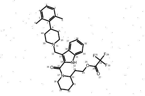 Cc1cccc(C)c1C1CCN(Cc2c(C(=O)N3CCCCC3CCOC(=O)C(F)(F)F)[nH]c3ccccc23)CC1